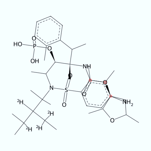 [2H]C([2H])(C)C([2H])(C([2H])(C)C)C(C)(C)N(C(C)[C@@H](OP(=O)(O)O)[C@@](C)(NC(=O)O[C@H]1CC(C)OC1C)C(C)c1ccccc1C)S(=O)(=O)c1ccc(N)c(C)c1C